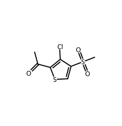 CC(=O)c1scc(S(C)(=O)=O)c1Cl